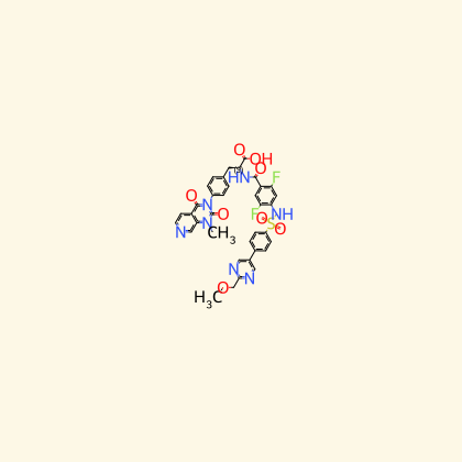 COCc1ncc(-c2ccc(S(=O)(=O)Nc3cc(F)c(C(=O)N[C@@H](Cc4ccc(-n5c(=O)c6ccncc6n(C)c5=O)cc4)C(=O)O)cc3F)cc2)cn1